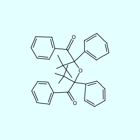 CC(C)(C)C(OC(C(=O)c1ccccc1)(c1ccccc1)C(C)(C)C)(C(=O)c1ccccc1)c1ccccc1